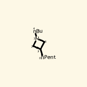 CCCCCC1CN(CCCC)C1